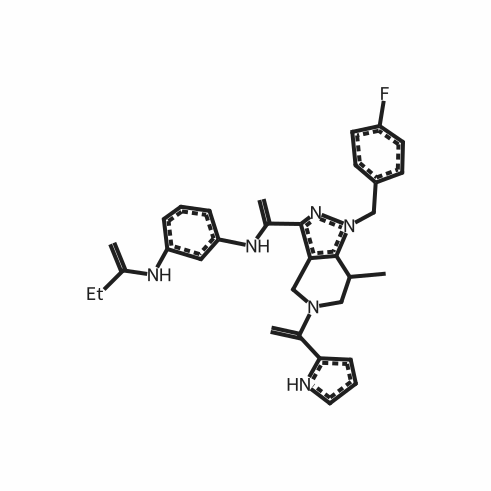 C=C(CC)Nc1cccc(NC(=C)c2nn(Cc3ccc(F)cc3)c3c2CN(C(=C)c2ccc[nH]2)CC3C)c1